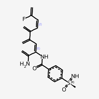 C=C(F)/C=C\C(=C)C(=C)/C=C(/NC(=O)c1ccc([S@](C)(=N)=O)cc1)C(=C)N